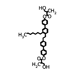 C=C(CO)C(=O)Oc1ccc(-c2ccc(CCc3ccc(-c4ccc(OC(=O)C(=C)CO)cc4)cc3CCCCCCC)cc2)cc1